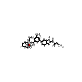 COC(=O)Nc1nc2ccc(-c3cc(C)c4c(c3)CN(C(=O)N3C5CCC3CC(O)C5)CCO4)cc2[nH]1